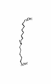 CCCCCCCCCCCCCCCC=NCCCCCCCCCCCCCCCC